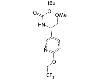 COCC(NC(=O)OC(C)(C)C)c1ccc(OCC(F)(F)F)nc1